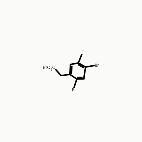 CCOC(=O)Cc1cc(F)c(Br)cc1F